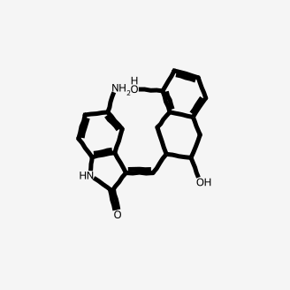 Nc1ccc2c(c1)C(=CC1Cc3c(O)cccc3CC1O)C(=O)N2